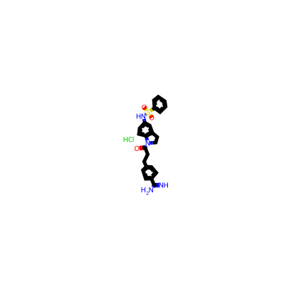 Cl.N=C(N)c1ccc(CCC(=O)N2CCc3cc(NS(=O)(=O)c4ccccc4)ccc32)cc1